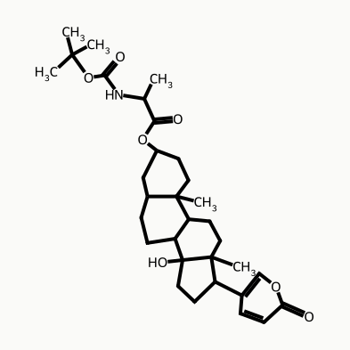 CC(NC(=O)OC(C)(C)C)C(=O)OC1CCC2(C)C(CCC3C2CCC2(C)C(c4ccc(=O)oc4)CCC32O)C1